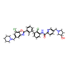 Cc1c(-c2nc3cc(CN4CCCCC4)cc(Cl)c3o2)cccc1-c1cccc(NC(=O)c2ccc(CN3CCC(O)C3)cn2)c1Cl